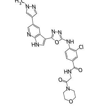 Cn1cc(-c2cnc3[nH]cc(-c4nnc(Nc5ccc(C(=O)NCC(=O)N6CCOCC6)cc5Cl)o4)c3c2)cn1